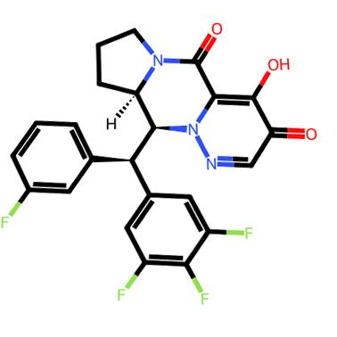 O=C1c2c(O)c(=O)cnn2[C@@H]([C@H](c2cccc(F)c2)c2cc(F)c(F)c(F)c2)[C@H]2CCCN12